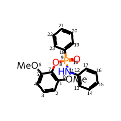 COc1cccc(OC)c1OP(=O)(Nc1ccccc1)c1ccccc1